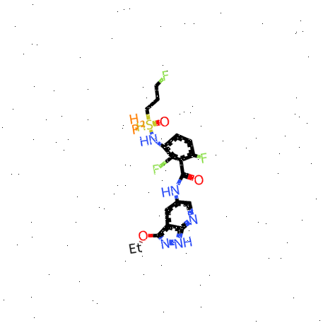 CCOc1n[nH]c2ncc(NC(=O)c3c(F)ccc(N[SH](=O)(P)CCCF)c3F)cc12